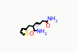 NC(=O)C/C=C/C(Cc1cccs1)C(N)=O